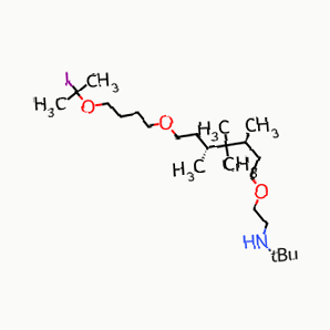 C[C@H](CCOCCCCOC(C)(C)I)C(C)(C)[C@@H](C)CCOCCNC(C)(C)C